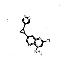 Nc1cc(Cl)nc2cc([C]3CC3c3cnsc3)cnc12